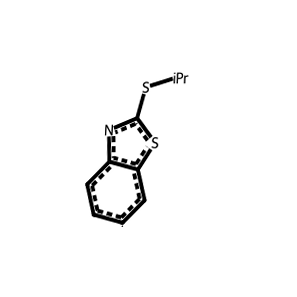 CC(C)Sc1nc2cc[c]cc2s1